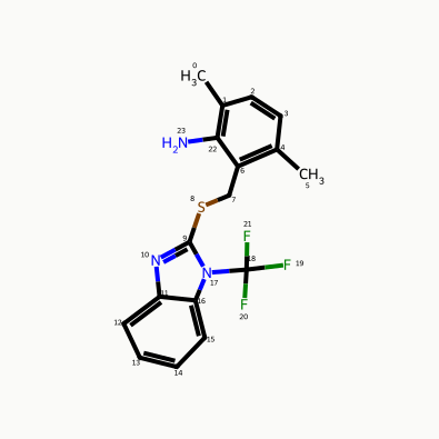 Cc1ccc(C)c(CSc2nc3ccccc3n2C(F)(F)F)c1N